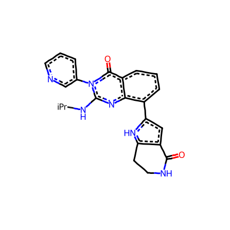 CC(C)Nc1nc2c(-c3cc4c([nH]3)CCNC4=O)cccc2c(=O)n1-c1cccnc1